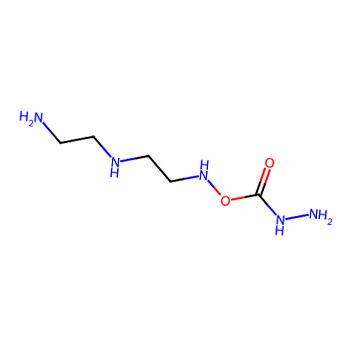 NCCNCCNOC(=O)NN